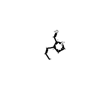 C/C=C\c1ccsc1C=O